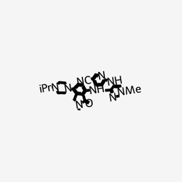 C/N=C(C)\C(=C/NC)Nc1cc(Nc2ccc(N3CCN(C(C)C)CC3)c3c2C(=O)N(C)C3)c(C#N)cn1